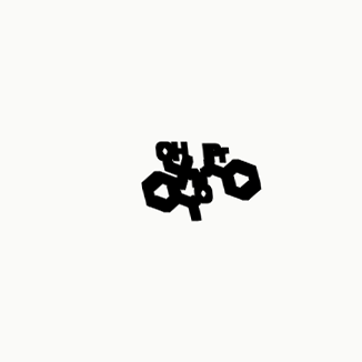 CC(ON(C(c1ccccc1)C(C)C)C(C)(C)CO)c1ccccc1